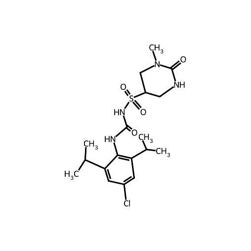 CC(C)c1cc(Cl)cc(C(C)C)c1NC(=O)NS(=O)(=O)C1CNC(=O)N(C)C1